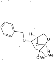 COC1(OC)C[C@H](OCc2ccccc2)[C@H]2CO[C@@H]1O2